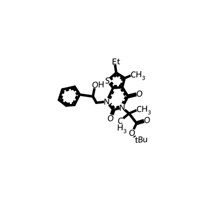 CCc1sc2c(c1C)c(=O)n(C(C)(C)C(=O)OC(C)(C)C)c(=O)n2CC(O)c1ccccc1